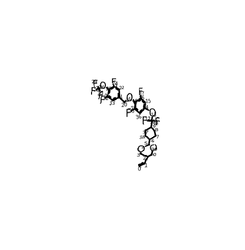 C=CC1COC(C2CCC(C(F)(F)Oc3cc(F)c(OCc4cc(F)c(OC(F)(F)F)c(F)c4)c(F)c3)CC2)OC1